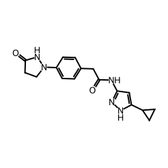 O=C(Cc1ccc(N2CCC(=O)N2)cc1)Nc1cc(C2CC2)[nH]n1